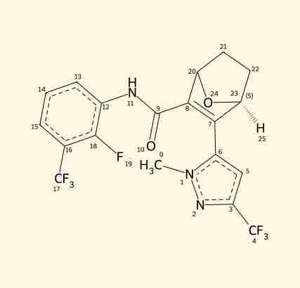 Cn1nc(C(F)(F)F)cc1C1=C(C(=O)Nc2cccc(C(F)(F)F)c2F)C2CC[C@@H]1O2